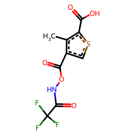 Cc1c(C(=O)ONC(=O)C(F)(F)F)csc1C(=O)O